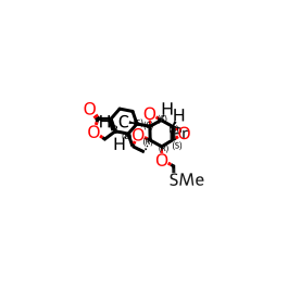 CSCO[C@@H]1[C@@]2(C(C)C)O[C@H]2[C@@H]2O[C@@]23[C@@]2(C)CCC4=C(COC4=O)[C@@H]2C2C[C@@]13O2